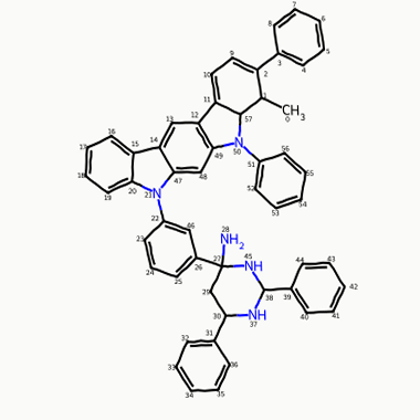 CC1C(c2ccccc2)=CC=C2c3cc4c5ccccc5n(-c5cccc(C6(N)CC(c7ccccc7)NC(c7ccccc7)N6)c5)c4cc3N(c3ccccc3)C21